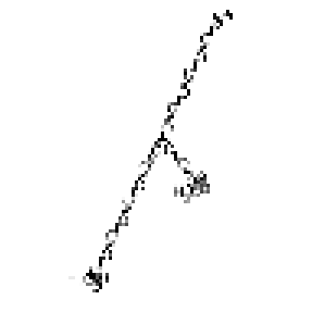 CCCOCCOCCOCCOCCOCCOCCOCC(COCCOCCOCCOCCOCCOCCOCCOS(C)(=O)=O)COCCOCCOS(C)(=O)=O